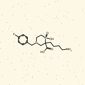 NCCCCC1(C(=O)O)CN(Cc2ccc(F)cc2)CCP1(=O)O